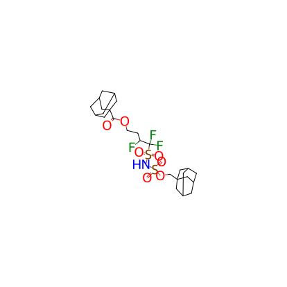 O=C(OCCC(F)C(F)(F)S(=O)(=O)NS(=O)(=O)OCC12CC3CC(CC(C3)C1)C2)C12CC3CC(CC(C3)C1)C2